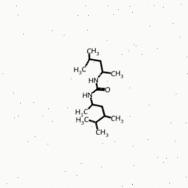 CC(C)CC(C)NC(=O)NC(C)CC(C)C(C)C